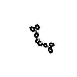 c1ccc2c(c1)c1ccccc1n2-c1ccc(-c2ccc3ccc(-c4ccc(-n5c6ccccc6c6ccccc65)cc4)nc3n2)cc1